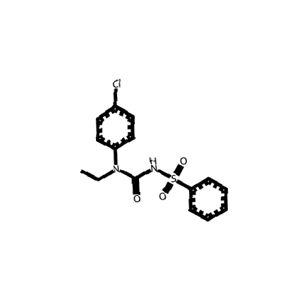 CCN(C(=O)NS(=O)(=O)c1ccccc1)c1ccc(Cl)cc1